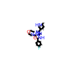 CC1C=CC(c2nc(NCc3ccc(F)cc3)n(C(=O)N3CCOCC3)n2)=CN1